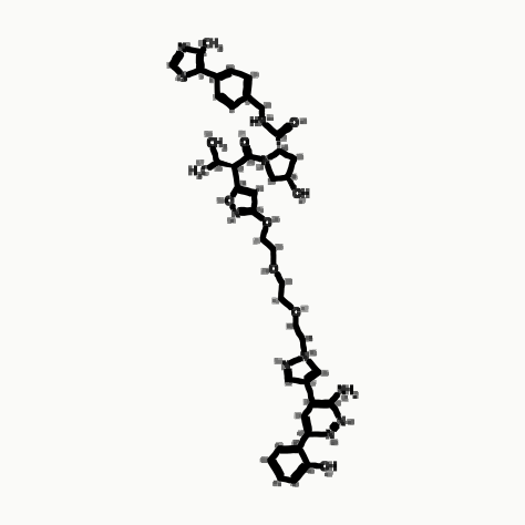 Cc1ncsc1-c1ccc(CNC(=O)[C@@H]2C[C@@H](O)CN2C(=O)[C@@H](c2cc(OCCOCCOCCn3cc(-c4cc(-c5ccccc5O)nnc4N)cn3)no2)C(C)C)cc1